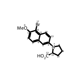 COc1ccc2cc(N3CCC[C@H]3C(=O)O)ccc2c1Br